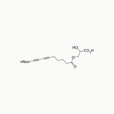 CCCCCCCCCC#CC#CCCCCC(=O)OCC(O)C(=O)O